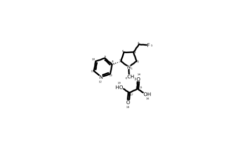 CN1CC(CF)C[C@H]1c1cccnc1.O=C(O)C(=O)O